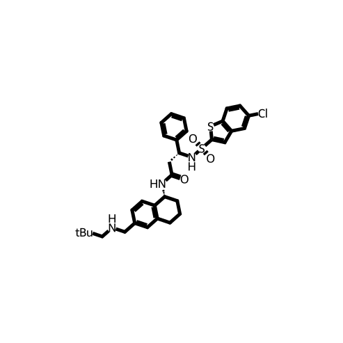 CC(C)(C)CNCc1ccc2c(c1)CCC[C@H]2NC(=O)C[C@@H](NS(=O)(=O)c1cc2cc(Cl)ccc2s1)c1ccccc1